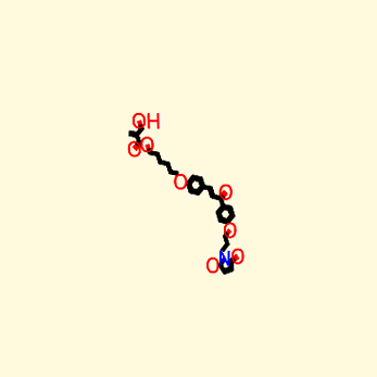 C=C(CO)C(=O)OCCCCCCOc1ccc(/C=C/C(=O)c2ccc(OCCCN3C(=O)C=CC3=O)cc2)cc1